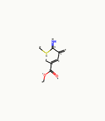 C=C(/C=C(\C)C(=O)OC)C(=N)SC